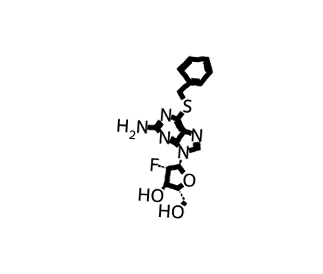 Nc1nc(SCc2ccccc2)c2ncn([C@@H]3O[C@H](CO)[C@@H](O)[C@@H]3F)c2n1